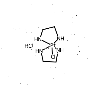 Cl.[Cl][Pt]12([NH]CC[NH]1)[NH]CC[NH]2